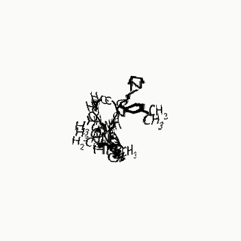 C=C[C@@H]1C[C@]1(NC(=O)[C@@H]1C[C@@H]2CN1C(=O)[C@H](C(C)(C)C)NC(=O)O[C@@H]1C[C@H]1CCCCCc1c(nc3cc(C(C)C)ccc3c1OCCCN1CCCC1)O2)C(=O)NS(=O)(=O)C1(C)CC1